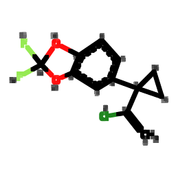 C=C(Cl)C1(c2ccc3c(c2)OC(F)(F)O3)CC1